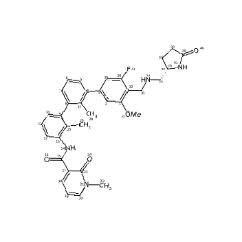 COc1cc(-c2cccc(-c3cccc(NC(=O)c4cccn(C)c4=O)c3C)c2C)cc(F)c1CNC[C@@H]1CCC(=O)N1